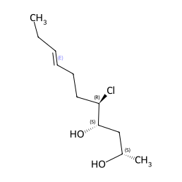 CC/C=C/CC[C@@H](Cl)[C@@H](O)C[C@H](C)O